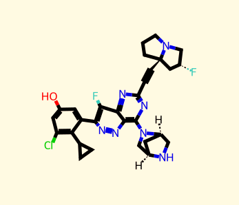 Oc1cc(Cl)c(C2CC2)c(-c2nnc3c(N4C[C@H]5C[C@@H]4CN5)nc(C#C[C@@]45CCCN4C[C@H](F)C5)nc3c2F)c1